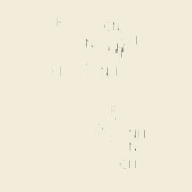 Cc1cc(Oc2c(F)cc(C(=O)NC(C)C(=O)N3[C@H](c4cc(Cl)ccc4F)CC[C@@H]3C(C)(C)C#N)cc2F)c(=O)[nH]n1